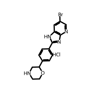 Brc1cnc2nc(-c3ccc(C4CNCCO4)cc3)[nH]c2c1.Cl